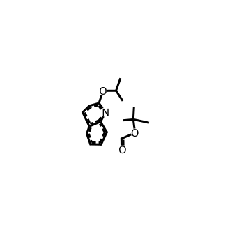 CC(C)(C)OC=O.CC(C)Oc1ccc2ccccc2n1